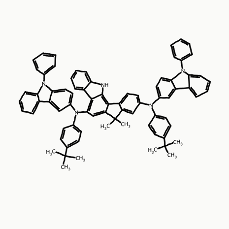 CC(C)(C)c1ccc(N(c2ccc3c(c2)C(C)(C)c2cc(N(c4ccc(C(C)(C)C)cc4)c4ccc5c(c4)c4ccccc4n5-c4ccccc4)c4c([nH]c5ccccc54)c2-3)c2ccc3c(c2)c2ccccc2n3-c2ccccc2)cc1